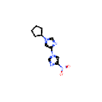 O=[N+]([O-])c1cn(-c2cn(C3CCCC3)cn2)cn1